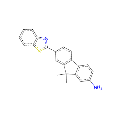 CC1(C)c2cc(N)ccc2-c2ccc(-c3nc4ccccc4s3)cc21